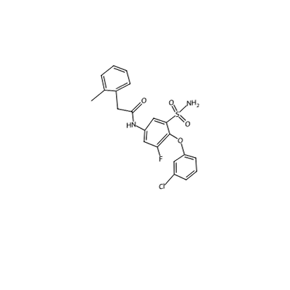 Cc1ccccc1CC(=O)Nc1cc(F)c(Oc2cccc(Cl)c2)c(S(N)(=O)=O)c1